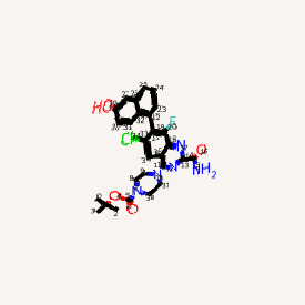 CC(C)(C)OC(=O)N1CCN(c2nc(C(N)=O)nc3c(F)c(-c4cccc5cc(O)ccc45)c(Cl)cc23)CC1